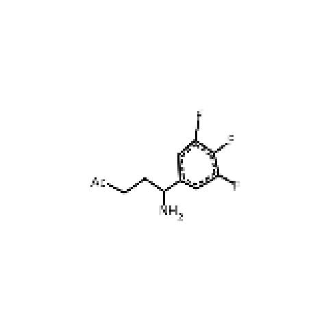 CC(=O)CCC(N)c1cc(F)c(F)c(F)c1